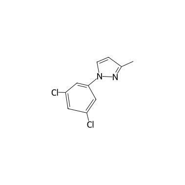 Cc1ccn(-c2cc(Cl)cc(Cl)c2)n1